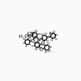 C[Si]1(C)c2ccccc2Oc2c(N(c3ccc(-c4ccccn4)cc3)c3cccc4c3Oc3ccccc3O4)cccc21